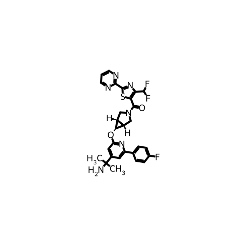 CC(C)(N)c1cc(O[C@@H]2[C@@H]3CN(C(=O)c4sc(-c5ncccn5)nc4C(F)F)C[C@@H]32)nc(-c2ccc(F)cc2)c1